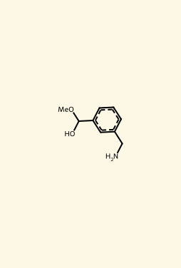 COC(O)c1cccc(CN)c1